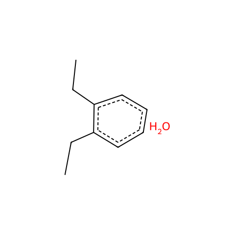 CCc1ccccc1CC.O